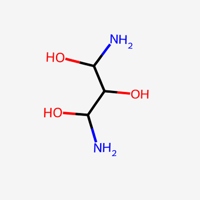 NC(O)C(O)C(N)O